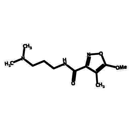 COc1onc(C(=O)NCCCN(C)C)c1C